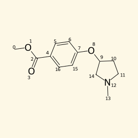 COC(=O)c1ccc(OC2CCN(C)C2)cc1